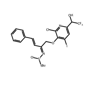 CC(C)(C)[S+]([O-])/N=C(\C=C\c1ccccc1)COc1c(I)cc(C(O)C(F)(F)F)nc1Cl